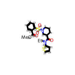 CCN(C(=O)C1CCCN(S(=O)(=O)c2ccccc2C(=O)OC)C1)c1cccs1